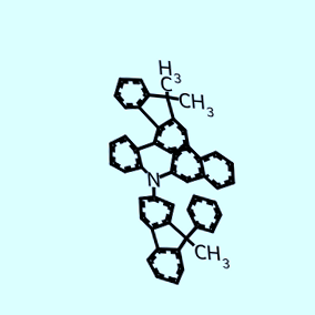 CC1(C)c2ccccc2-c2c(-c3ccccc3N(c3ccc4c(c3)C(C)(c3ccccc3)c3ccccc3-4)c3ccc4ccccc4c3)cccc21